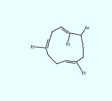 CC/C1=C\C/C=C(\CC)C(C(C)=O)CC/C(CC)=C/CC1